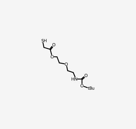 CC(C)(C)OC(=O)NCCOCCOC(=O)CS